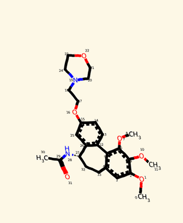 COc1cc2c(c(OC)c1OC)-c1ccc(OCCN3CCOCC3)cc1[C@@H](NC(C)=O)CC2